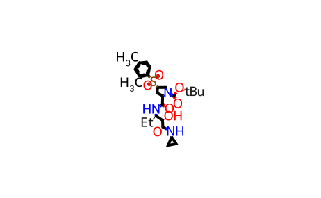 CC[C@H](NC(=O)C1CC(S(=O)(=O)c2ccc(C)cc2C)CN1C(=O)OC(C)(C)C)[C@H](O)C(=O)NC1CC1